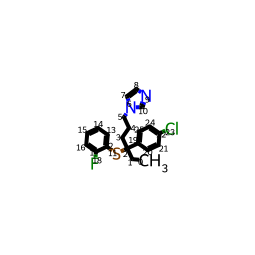 CCC(CCCn1ccnc1)(Sc1ccccc1F)c1ccc(Cl)cc1